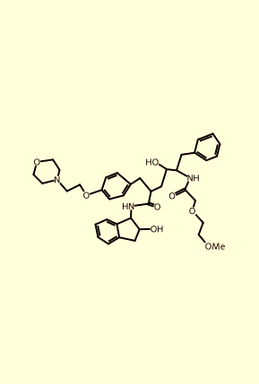 COCCOCC(=O)NC(Cc1ccccc1)C(O)CC(Cc1ccc(OCCN2CCOCC2)cc1)C(=O)NC1c2ccccc2CC1O